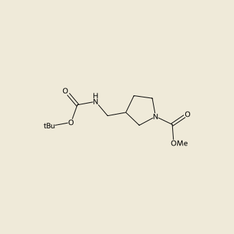 COC(=O)N1CCC(CNC(=O)OC(C)(C)C)C1